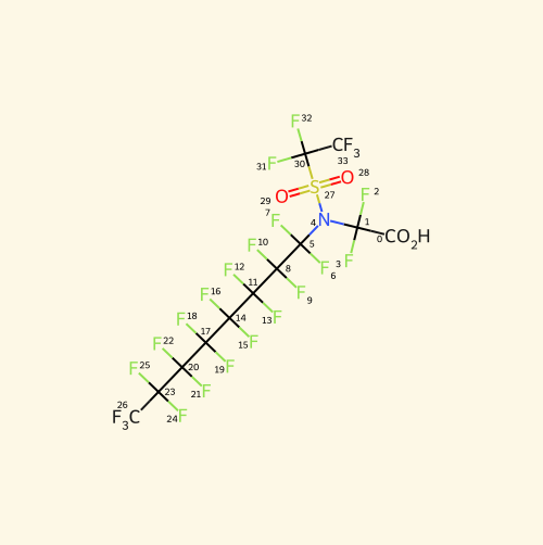 O=C(O)C(F)(F)N(C(F)(F)C(F)(F)C(F)(F)C(F)(F)C(F)(F)C(F)(F)C(F)(F)C(F)(F)F)S(=O)(=O)C(F)(F)C(F)(F)F